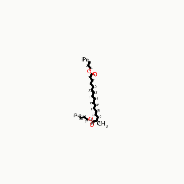 CC(C)CCCOC(=O)CCCCCCCCCCCCCCC(C)C(=O)OCCCC(C)C